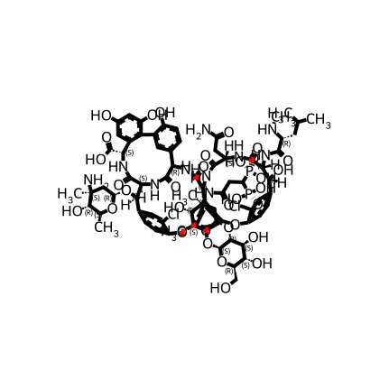 CN[C@H](CC(C)C)C(=O)N[C@H]1C(=O)N[C@@H](CC(N)=O)C(=O)N[C@H]2C(=O)N[C@H]3C(=O)N[C@H](C(=O)N[C@H](C(=O)O)c4cc(O)cc(O)c4-c4cc3ccc4O)[C@H](O[C@H]3C[C@](C)(N)[C@@H](O)[C@H](C)O3)c3ccc(c(Cl)c3)Oc3cc2cc(c3O[C@@H]2O[C@H](CO)[C@@H](O)[C@H](O)[C@H]2O[C@H]2C[C@](C)(NC(=O)CC(P(=O)(O)O)P(=O)(O)O)[C@@H](O)[C@H](C)O2)Oc2ccc(cc2Cl)[C@H]1O